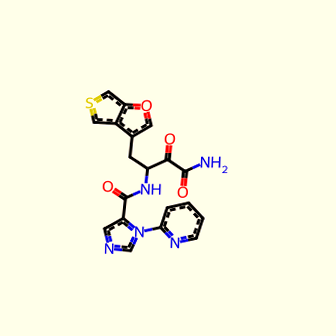 NC(=O)C(=O)C(Cc1coc2cscc12)NC(=O)c1cncn1-c1ccccn1